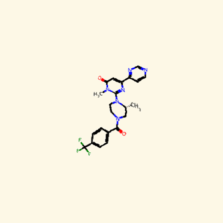 C[C@@H]1CN(C(=O)c2ccc(C(F)(F)F)cc2)CCN1c1nc(-c2ccncn2)cc(=O)n1C